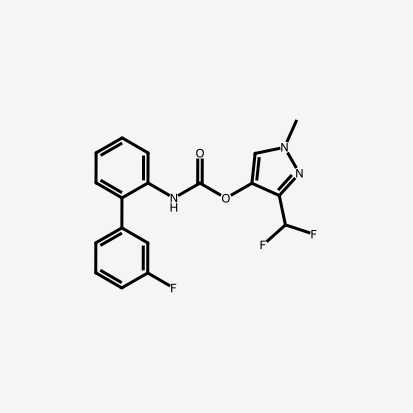 Cn1cc(OC(=O)Nc2ccccc2-c2cccc(F)c2)c(C(F)F)n1